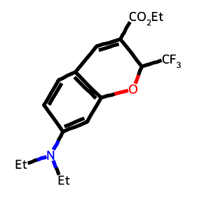 CCOC(=O)C1=Cc2ccc(N(CC)CC)cc2OC1C(F)(F)F